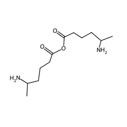 CC(N)CCCC(=O)OC(=O)CCCC(C)N